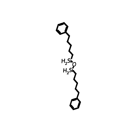 c1ccc(CCCCC[SiH2]O[SiH2]CCCCCc2ccccc2)cc1